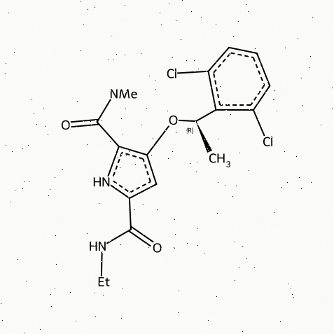 CCNC(=O)c1cc(O[C@H](C)c2c(Cl)cccc2Cl)c(C(=O)NC)[nH]1